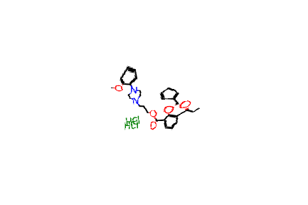 CCC(=O)c1cccc(C(=O)OCCCN2CCN(c3ccccc3OC)CC2)c1OCc1ccccc1.Cl.Cl